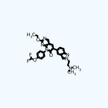 CCOc1ncc2cc(-c3ccc4nn(CCN(C)C)cc4c3)c(=O)n(-c3ccc(OC(F)F)cc3)c2n1